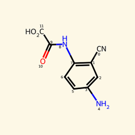 N#Cc1cc(N)ccc1NC(=O)C(=O)O